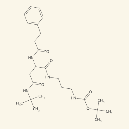 CC(C)(C)NC(=O)CC(NC(=O)CCc1ccccc1)C(=O)NCCCNC(=O)OC(C)(C)C